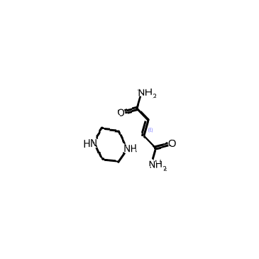 C1CNCCN1.NC(=O)/C=C/C(N)=O